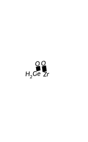 [O]=[GeH2].[O]=[Zr]